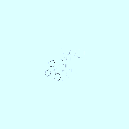 CC[C@H](C)[C@H](N)C(=O)N[C@@H](CSC(c1ccccc1)(c1ccccc1)c1ccccc1)C(=O)N[C@H](C(=O)OC1CCCCCCC1)[C@@H](C)CC